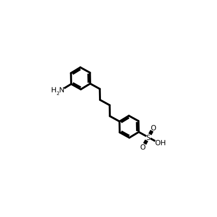 Nc1cccc(CCCCc2ccc(S(=O)(=O)O)cc2)c1